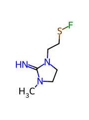 CN1CCN(CCSF)C1=N